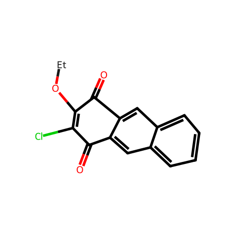 CCOC1=C(Cl)C(=O)c2cc3ccccc3cc2C1=O